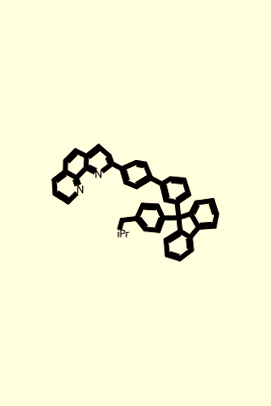 CC(C)Cc1ccc(C2(c3cccc(-c4ccc(-c5ccc6ccc7cccnc7c6n5)cc4)c3)c3ccccc3-c3ccccc32)cc1